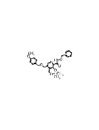 COc1ccc(COCc2cnc(C(=O)NOCc3ccccc3)c3c2COC(C)(C)O3)cc1